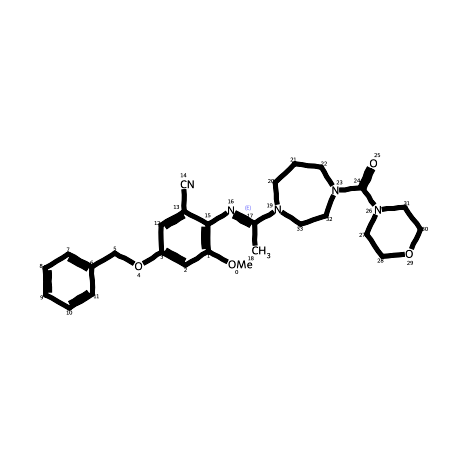 COc1cc(OCc2ccccc2)cc(C#N)c1/N=C(\C)N1CCCN(C(=O)N2CCOCC2)CC1